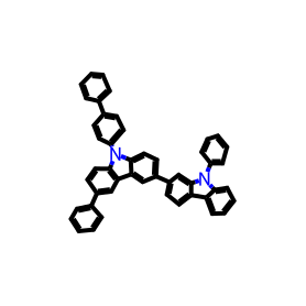 c1ccc(-c2ccc(-n3c4ccc(-c5ccccc5)cc4c4cc(-c5ccc6c7ccccc7n(-c7ccccc7)c6c5)ccc43)cc2)cc1